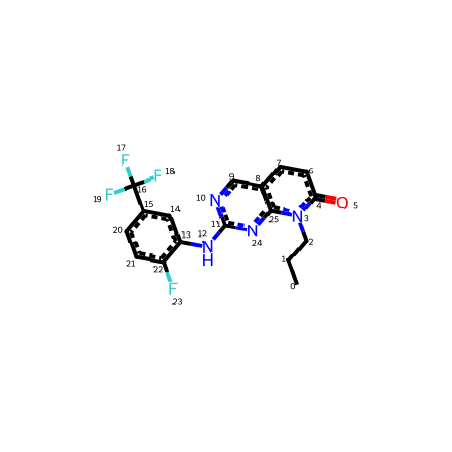 CCCn1c(=O)ccc2cnc(Nc3cc(C(F)(F)F)ccc3F)nc21